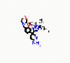 COc1cc(C2(c3cn(C(C)C)nn3)C=CC(N)N=C2)ccc1CN1CCOCC1